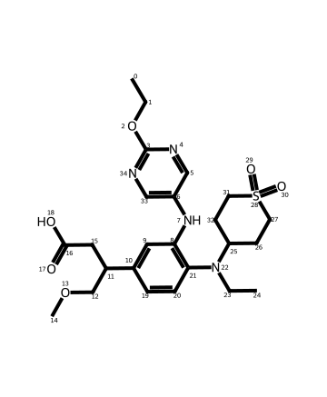 CCOc1ncc(Nc2cc(C(COC)CC(=O)O)ccc2N(CC)C2CCS(=O)(=O)CC2)cn1